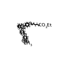 CCOC(=O)CCCCCOc1ccc(-c2nc(N3CCOC(CN4CCN(S(C)(=O)=O)CC4)C3)c3sccc3n2)cc1